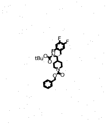 CC(C)(C)OC(=O)N[C@H](Cc1cc(F)c(F)cc1F)C1CCN(C(=O)OCc2ccccc2)CC1